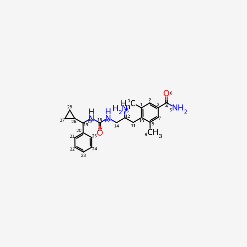 Cc1cc(C(N)=O)cc(C)c1CC(N)CNC(=O)NC(c1ccccc1)C1CC1